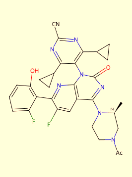 CC(=O)N1CCN(c2nc(=O)n(-c3c(C4CC4)nc(C#N)nc3C3CC3)c3nc(-c4c(O)cccc4F)c(F)cc23)[C@@H](C)C1